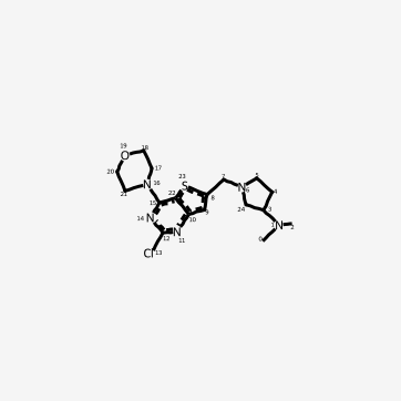 CN(C)C1CCN(Cc2cc3nc(Cl)nc(N4CCOCC4)c3s2)C1